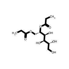 CCC(=O)OC[C@H](OC(=O)CC)[C@@H](O)[C@H](O)[C@H](O)CO